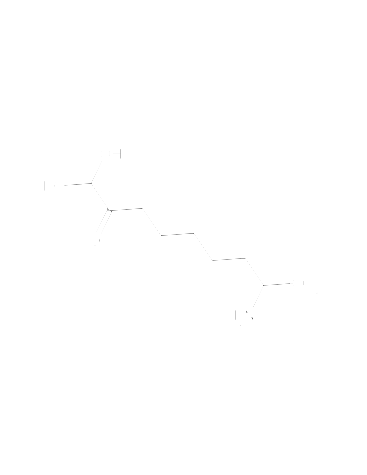 CC(O)C(=O)CCCCCC(N)C(=O)O